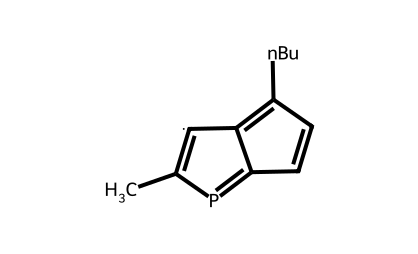 CCCCC1=C2[C]=C(C)P=C2C=C1